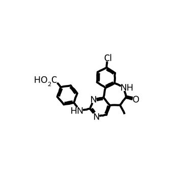 CC1C(=O)Nc2cc(Cl)ccc2-c2nc(Nc3ccc(C(=O)O)cc3)ncc21